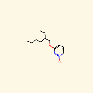 CCCCC(CC)COc1cc[c][n+]([O-])n1